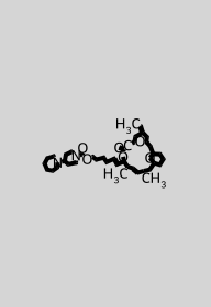 C/C=C1\CC2CC(=O)OC(/C=C/CCCCOC(=O)N3CCC(N4CCCCCC4)CC3)C(C)/C=C/C(C)CC3CCCC(CC(C1)O2)O3